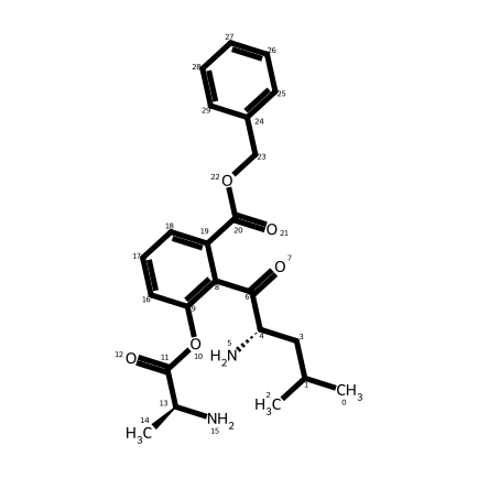 CC(C)C[C@H](N)C(=O)c1c(OC(=O)[C@H](C)N)cccc1C(=O)OCc1ccccc1